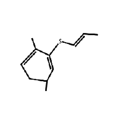 C/C=C/SC1=CC(C)CC=C1C